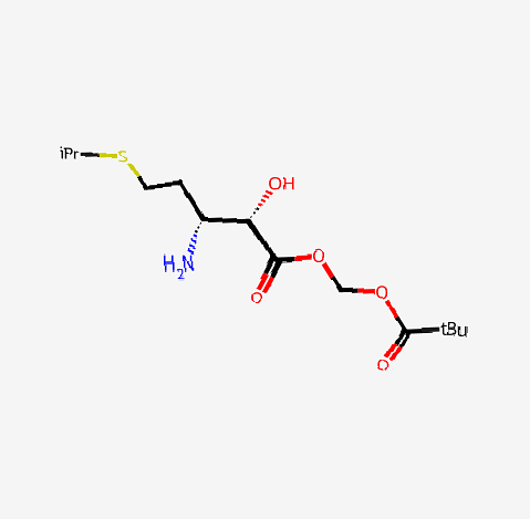 CC(C)SCC[C@@H](N)[C@H](O)C(=O)OCOC(=O)C(C)(C)C